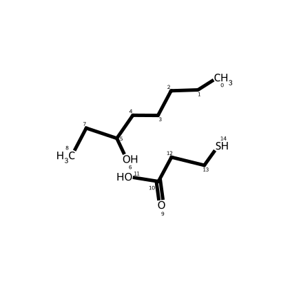 CCCCCC(O)CC.O=C(O)CCS